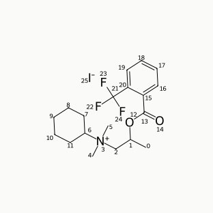 CC(C[N+](C)(C)C1CCCCC1)OC(=O)c1ccccc1C(F)(F)F.[I-]